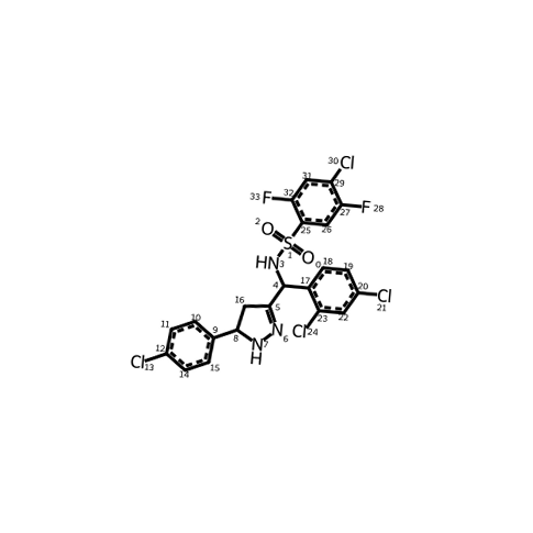 O=S(=O)(NC(C1=NNC(c2ccc(Cl)cc2)C1)c1ccc(Cl)cc1Cl)c1cc(F)c(Cl)cc1F